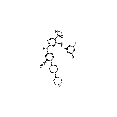 [C-]#[N+]c1cc(Nc2cc(NCc3cc(F)cc(F)c3)c(C(N)=O)cn2)ccc1N1CCC(N2CCOCC2)CC1